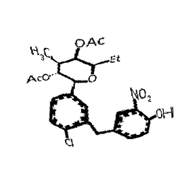 CC[C@H]1O[C@@H](c2ccc(Cl)c(Cc3ccc(O)c([N+](=O)[O-])c3)c2)[C@H](OC(C)=O)[C@@H](C)C1OC(C)=O